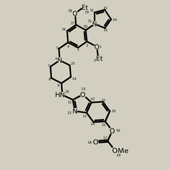 CCOc1cc(CN2CCC(Nc3nc4cc(OC(=O)OC)ccc4o3)CC2)cc(OCC)c1-n1cccc1